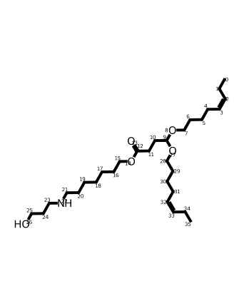 CC/C=C\CCCCOC(CCC(=O)OCCCCCCCNCCCO)OCCCC/C=C\CC